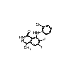 Cc1n[nH]c(=O)c2c(Nc3ccccc3Cl)c(F)c(F)cc12